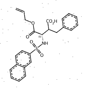 C=CCOC(=O)[C@@H](NS(=O)(=O)c1ccc2ccccc2c1)C(Cc1ccccc1)C(=O)O